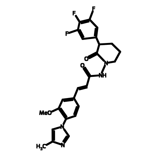 COc1cc(C=CC(=O)NN2CCCC(c3cc(F)c(F)c(F)c3)C2=O)ccc1-n1cnc(C)c1